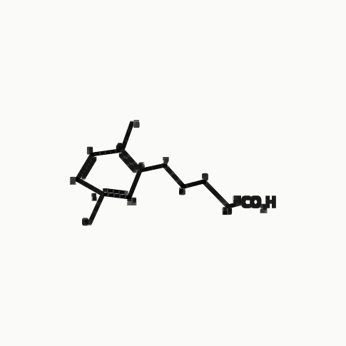 Cc1ccc(C)c(CCCCC(=O)O)c1